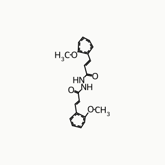 COc1ccccc1/C=C/C(=O)NNC(=O)/C=C/c1ccccc1OC